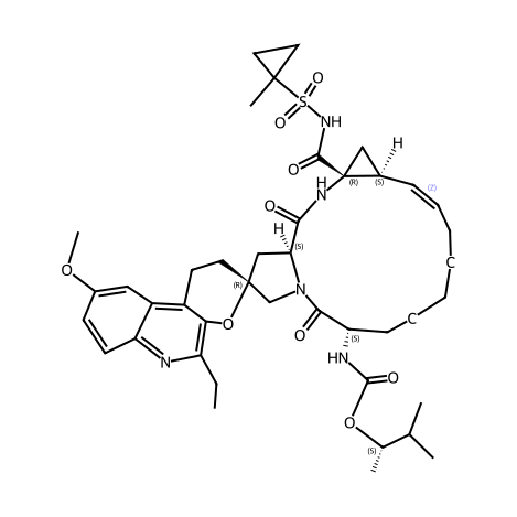 CCc1nc2ccc(OC)cc2c2c1O[C@]1(CC2)C[C@H]2C(=O)N[C@]3(C(=O)NS(=O)(=O)C4(C)CC4)C[C@H]3/C=C\CCCCC[C@H](NC(=O)O[C@@H](C)C(C)C)C(=O)N2C1